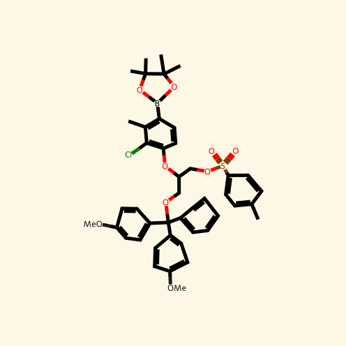 COc1ccc(C(OCC(COS(=O)(=O)c2ccc(C)cc2)Oc2ccc(B3OC(C)(C)C(C)(C)O3)c(C)c2Cl)(c2ccccc2)c2ccc(OC)cc2)cc1